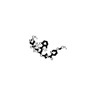 CCOc1ccc(C(=O)N2CC(Oc3cc(-c4c(C)cccc4C)nc(NS(=O)(=O)c4cnn(C)c4)n3)C2)nc1